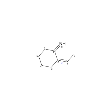 C/C=C1/CCCCC1=N